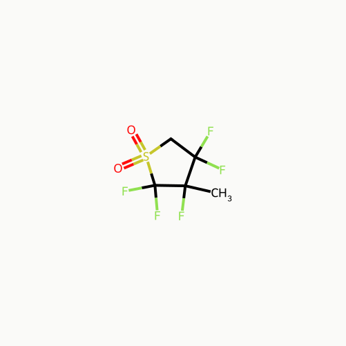 CC1(F)C(F)(F)CS(=O)(=O)C1(F)F